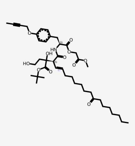 CC#CCOc1ccc(C[C@H](NC(=O)[C@@H](/C=C/CCCCCCC(=O)CCCCCCC)C(O)(CCO)C(=O)OC(C)(C)C)C(=O)OCC(=O)OC)cc1